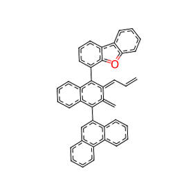 C=C/C=c1/c(-c2cccc3c2oc2ccccc23)c2ccccc2c(-c2cc3ccccc3c3ccccc23)c1=C